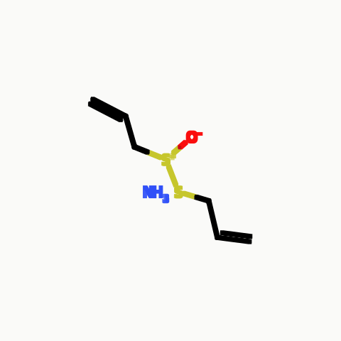 C=CCS[S+]([O-])CC=C.N